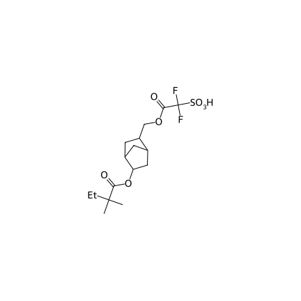 CCC(C)(C)C(=O)OC1CC2CC1CC2COC(=O)C(F)(F)S(=O)(=O)O